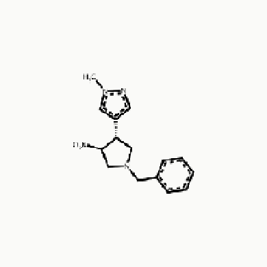 Cn1cc([C@@H]2CN(Cc3ccccc3)C[C@H]2[N+](=O)[O-])cn1